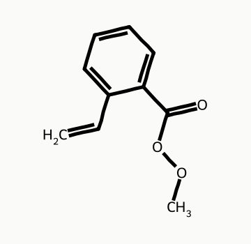 C=Cc1ccccc1C(=O)OOC